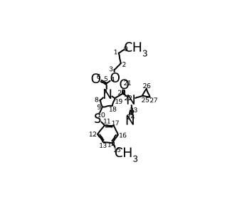 CCCCOC(=O)N1CC(Sc2ccc(C)cc2)CC1C(=O)N(C#N)C1CC1